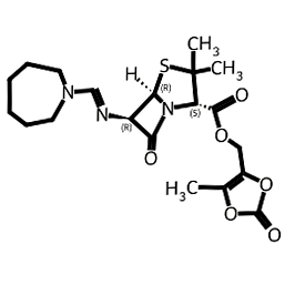 Cc1oc(=O)oc1COC(=O)[C@@H]1N2C(=O)[C@@H](N=CN3CCCCCC3)[C@H]2SC1(C)C